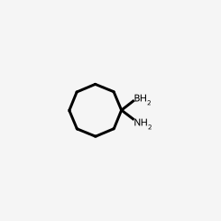 BC1(N)CCCCCCC1